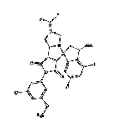 COc1cc(Cl)cc(N2C(=O)C3C4CC(=C(F)F)CN4C4(CN(C)c5c(Cl)cc(Cl)cc54)C3C2=O)c1